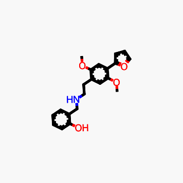 COc1cc(-c2ccco2)c(OC)cc1CCNCc1ccccc1O